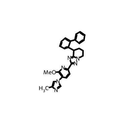 COc1nc(-c2nc3n(n2)CCCC3c2ccccc2-c2ccccc2)ccc1-n1cnc(C)c1